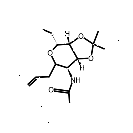 C=CCC1O[C@H](CC)[C@@H]2OC(C)(C)O[C@@H]2[C@H]1NC(C)=O